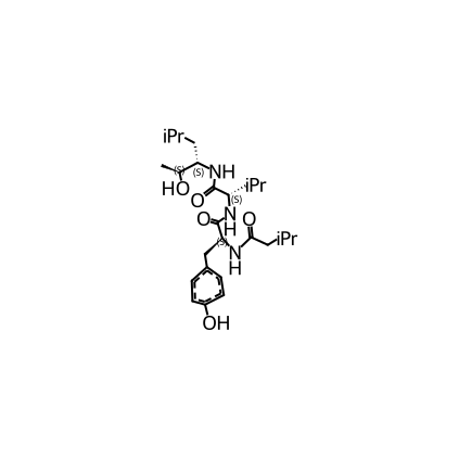 CC(C)CC(=O)N[C@@H](Cc1ccc(O)cc1)C(=O)N[C@H](C(=O)N[C@@H](CC(C)C)[C@H](C)O)C(C)C